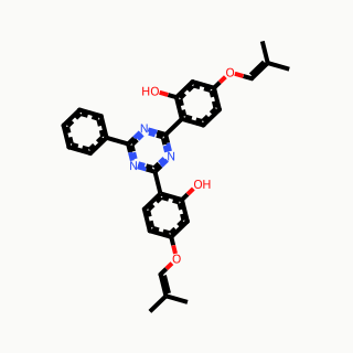 CC(C)=COc1ccc(-c2nc(-c3ccccc3)nc(-c3ccc(OC=C(C)C)cc3O)n2)c(O)c1